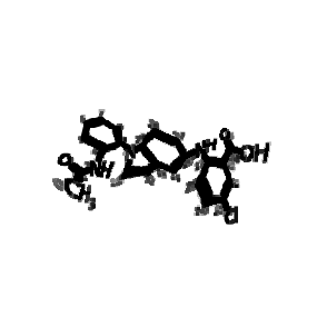 CC(=O)Nc1ccccc1-n1ccc2cc(Nc3ccc(Cl)cc3C(=O)O)ccc21